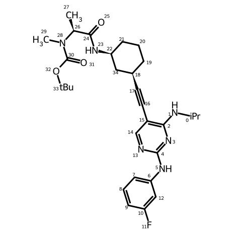 CC(C)Nc1nc(Nc2cccc(F)c2)ncc1C#C[C@@H]1CCC[C@H](NC(=O)[C@H](C)N(C)C(=O)OC(C)(C)C)C1